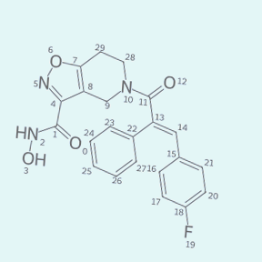 O=C(NO)c1noc2c1CN(C(=O)C(=Cc1ccc(F)cc1)c1ccccc1)CC2